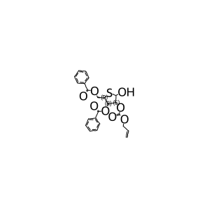 C=CCOC(=O)O[C@@H]1C(O)S[C@H](COC(=O)c2ccccc2)[C@@H]1OC(=O)c1ccccc1